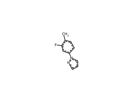 [CH2]c1ccc(-n2cccn2)cc1F